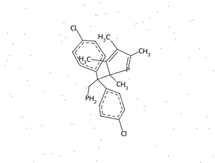 CC1=PC(C)(C(CP)(c2ccc(Cl)cc2)c2ccc(Cl)cc2)C(C)=C1C